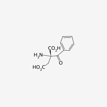 N[C@](CC(=O)O)(C(=O)O)C(=O)c1ccccc1